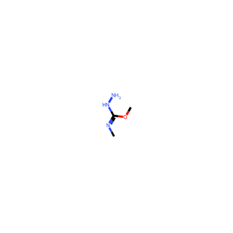 CN=C(NN)OC